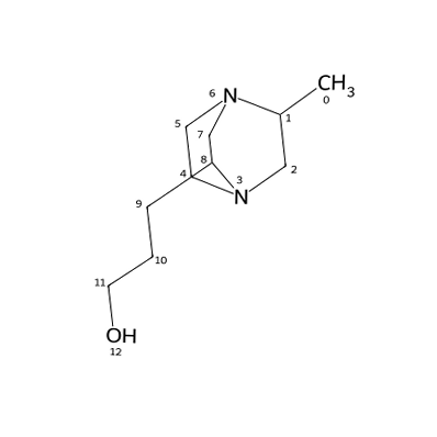 CC1CN2CCN1CC2CCCO